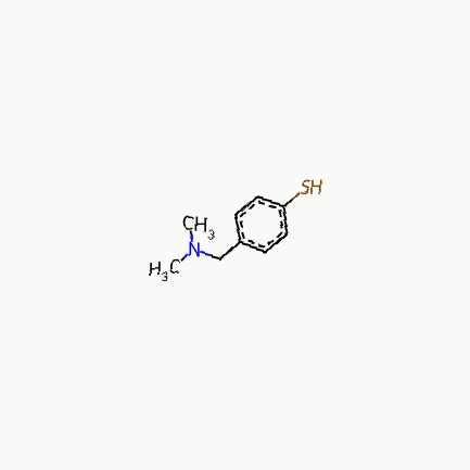 CN(C)Cc1ccc(S)cc1